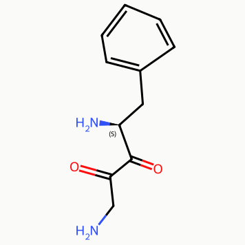 NCC(=O)C(=O)[C@@H](N)Cc1ccccc1